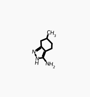 CC1CCc2c(n[nH]c2N)C1